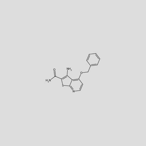 NC(=O)c1sc2nccc(OCc3ccccc3)c2c1N